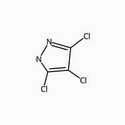 ClC1=N[N]C(Cl)=C1Cl